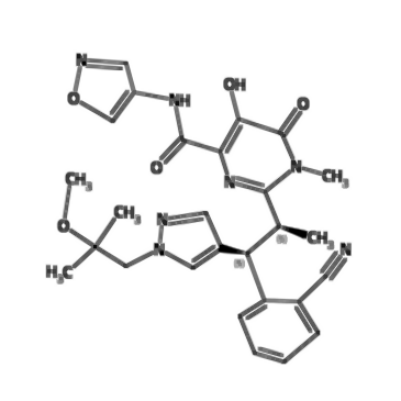 COC(C)(C)Cn1cc([C@H](c2ccccc2C#N)[C@H](C)c2nc(C(=O)Nc3cnoc3)c(O)c(=O)n2C)cn1